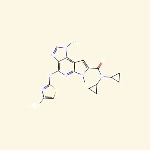 CCOC(=O)c1csc(Nc2nc3c(cc(C(=O)N(C4CC4)C4CC4)n3CC)c3c2ncn3C)n1